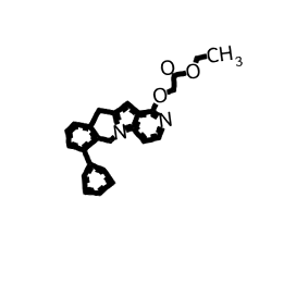 CCOC(=O)COc1nccc2c1cc1n2Cc2c(cccc2-c2ccccc2)C1